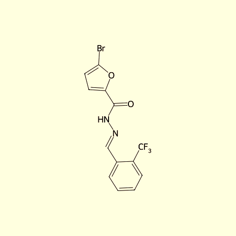 O=C(NN=Cc1ccccc1C(F)(F)F)c1ccc(Br)o1